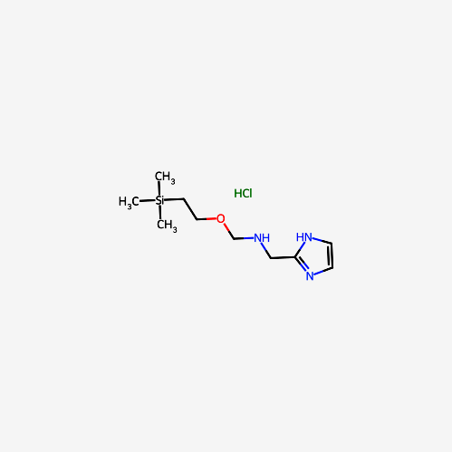 C[Si](C)(C)CCOCNCc1ncc[nH]1.Cl